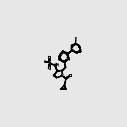 CS(=O)(=O)NC1CCN(C(=O)C2CC2)C1Cc1cccc(-c2cccc(F)c2)n1